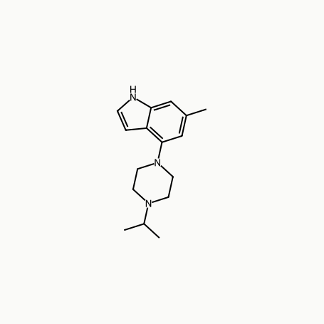 Cc1cc(N2CCN(C(C)C)CC2)c2cc[nH]c2c1